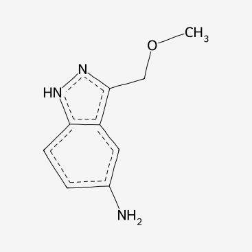 COCc1n[nH]c2ccc(N)cc12